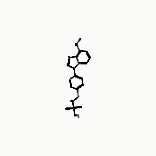 COc1cccc2c1nnn2-c1ccc(CNS(N)(=O)=O)cc1